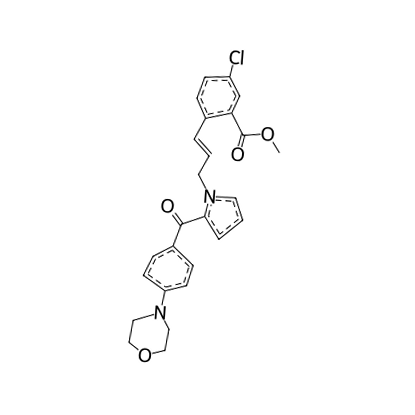 COC(=O)c1cc(Cl)ccc1C=CCn1cccc1C(=O)c1ccc(N2CCOCC2)cc1